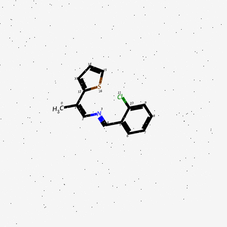 CC(=CN=Cc1ccccc1Cl)c1cccs1